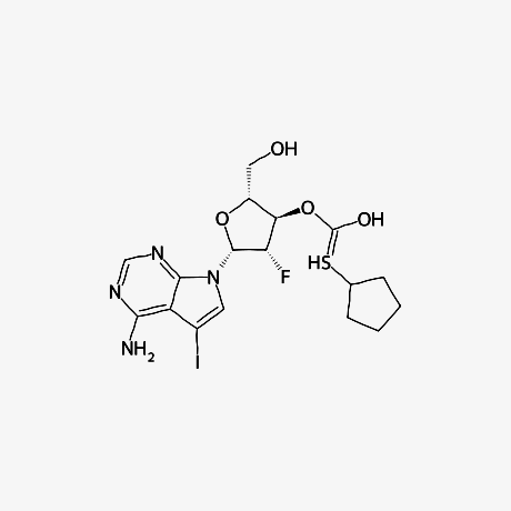 Nc1ncnc2c1c(I)cn2[C@@H]1O[C@H](CO)[C@@H](OC(O)=[SH]C2CCCC2)[C@@H]1F